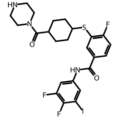 O=C(Nc1cc(F)c(F)c(I)c1)c1ccc(F)c(SC2CCC(C(=O)N3CCNCC3)CC2)c1